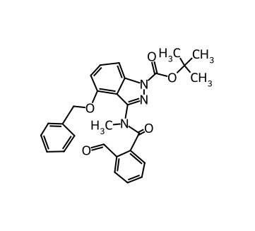 CN(C(=O)c1ccccc1C=O)c1nn(C(=O)OC(C)(C)C)c2cccc(OCc3ccccc3)c12